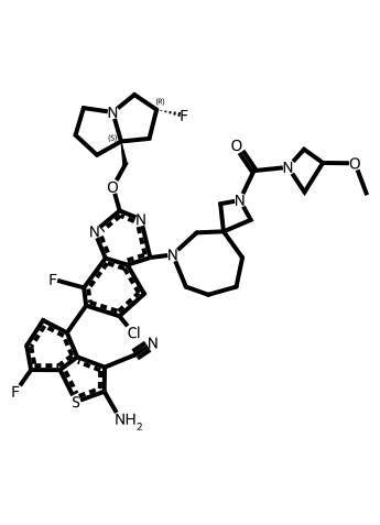 COC1CN(C(=O)N2CC3(CCCCN(c4nc(OC[C@@]56CCCN5C[C@H](F)C6)nc5c(F)c(-c6ccc(F)c7sc(N)c(C#N)c67)c(Cl)cc45)C3)C2)C1